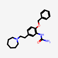 NC(=O)Nc1cc(CCN2CCCCCC2)ccc1OCc1ccccc1